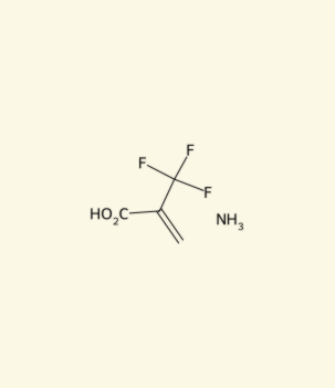 C=C(C(=O)O)C(F)(F)F.N